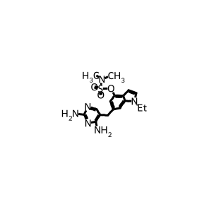 CCn1ccc2c(OS(=O)(=O)N(C)C)cc(Cc3cnc(N)nc3N)cc21